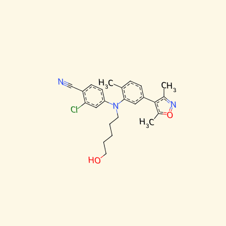 Cc1ccc(-c2c(C)noc2C)cc1N(CCCCCO)c1ccc(C#N)c(Cl)c1